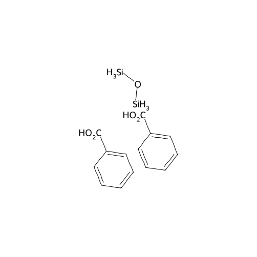 O=C(O)c1ccccc1.O=C(O)c1ccccc1.[SiH3]O[SiH3]